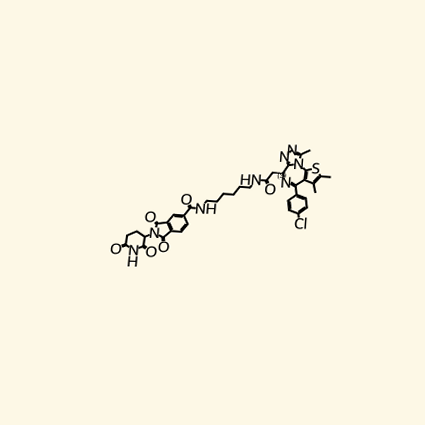 Cc1sc2c(c1C)C(c1ccc(Cl)cc1)=N[C@@H](CC(=O)NCCCCCCNC(=O)c1ccc3c(c1)C(=O)N(C1CCC(=O)NC1=O)C3=O)c1nnc(C)n1-2